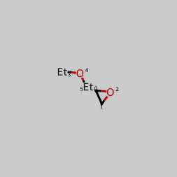 C1CO1.CCOCC